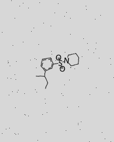 CCC(C)c1cccc(S(=O)(=O)N2[CH]CCCC2)c1